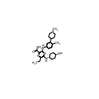 CCc1nc(C(N)=O)c(Nc2ccc(C)c(C3CCN(C)CC3)c2)nc1N[C@H]1CC[C@H](O)CC1